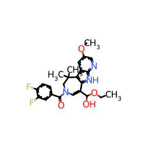 CCOC(O)C1=CN(C(=O)c2ccc(F)c(F)c2)CC(C)(C)c2c1[nH]c1ncc(OC)cc21